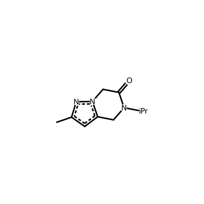 Cc1cc2n(n1)CC(=O)N(C(C)C)C2